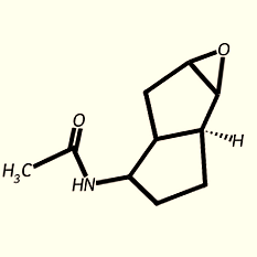 CC(=O)NC1CC[C@H]2C1CC1OC12